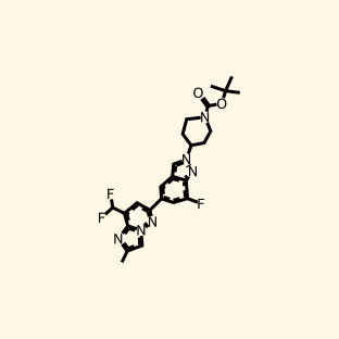 Cc1cn2nc(-c3cc(F)c4nn(C5CCN(C(=O)OC(C)(C)C)CC5)cc4c3)cc(C(F)F)c2n1